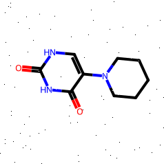 O=c1[nH]cc(N2CCCCC2)c(=O)[nH]1